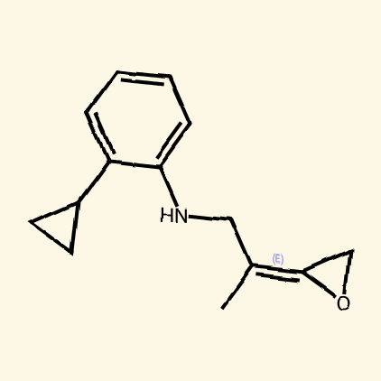 C/C(CNc1ccccc1C1CC1)=C1/CO1